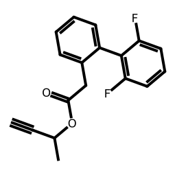 C#CC(C)OC(=O)Cc1ccccc1-c1c(F)cccc1F